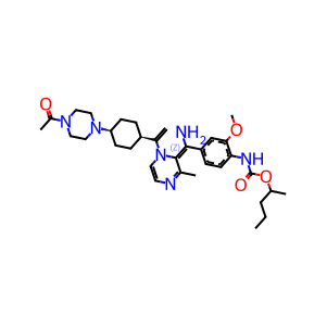 C=C([C@H]1CC[C@@H](N2CCN(C(C)=O)CC2)CC1)N1C=CN=C(C)/C1=C(/N)c1ccc(NC(=O)OC(C)CCC)c(OC)c1